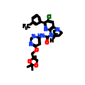 CC1(C)OC[C@H](COc2cc(NC(=O)N3c4nc(-c5cccc(C(F)(F)F)c5)c(Cl)cc4N4CC[C@H]3C4)ncn2)O1